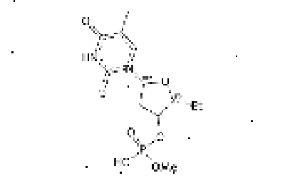 CC[C@H]1O[C@@H](n2cc(C)c(=O)[nH]c2=O)CC1OP(=O)(O)OC